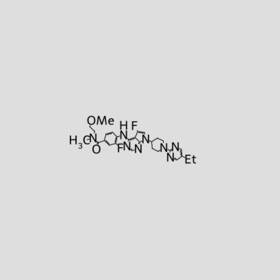 CCc1cnc(N2CCC(n3cc(F)c4c(Nc5ccc(C(=O)N(C)CCOC)cc5F)ncnc43)CC2)nc1